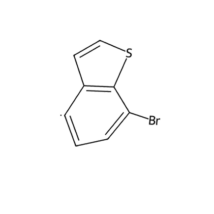 Brc1cc[c]c2ccsc12